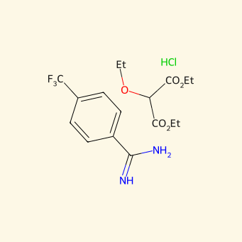 CCOC(=O)C(OCC)C(=O)OCC.Cl.N=C(N)c1ccc(C(F)(F)F)cc1